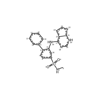 CNS(=O)(=O)c1ccc(-c2ccccc2)c(Nc2nc[nH]c3nccc2-3)c1